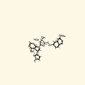 CNc1ccc2ccc(OC[C@H]3O[C@@H](n4cc(-c5ccn(C)n5)c5c(N)ncnc54)[C@H](O)[C@@H]3O)cc2n1